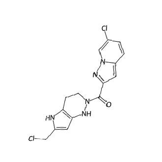 O=C(c1cc2ccc(Cl)cn2n1)N1CCc2[nH]c(CCl)cc2N1